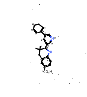 CC1(C)Cc2cc(C(=O)O)ccc2NC1c1cncc(C2=CCCC=C2)c1